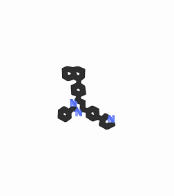 c1ccc(-c2nc(-c3ccc(-c4cccnc4)cc3)cc(-c3ccc(-c4cccc5ccccc45)cc3)n2)cc1